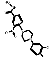 Cc1ccc(N2CCN(c3ccc(C(=O)NO)cc3[N+](=O)[O-])CC2)cc1Cl